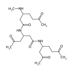 CNC(CCC(C)=O)CC(=O)NC(CC(C)=O)CC(=O)NC(CCC(C)=O)CC(C)=O